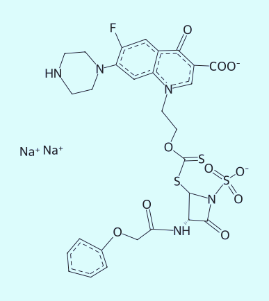 O=C(COc1ccccc1)N[C@H]1C(=O)N(S(=O)(=O)[O-])C1SC(=S)OCCn1cc(C(=O)[O-])c(=O)c2cc(F)c(N3CCNCC3)cc21.[Na+].[Na+]